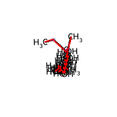 CCCCCCCC/C=C\CCCCCCCCCCCCCCCC(=O)N[C@@H](CO[C@@H]1OC(CO)[C@@H](O[C@@H]2OC(CO)[C@H](O)[C@H](O[C@H]3OC(CO)[C@H](O)[C@H](O[C@@H]4OC(CO)[C@H](O)[C@H](O[C@@H]5OC(CO[C@]6(C(=O)O)CC(O)[C@@H](NC(C)=O)C([C@H](O)[C@H](O)CO)O6)[C@H](O)[C@H](O)C5O)C4NC(C)=O)C3O)C2O)[C@H](O)C1O)[C@H](O)/C=C/CCCCCCCCCCCCC